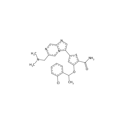 CC(Oc1cc(-c2cnc3cnc(CN(C)C)cn23)sc1C(N)=O)c1ccccc1Cl